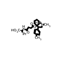 Cc1ccc(C(CN(C)C)C2(OC(=O)CCC(=O)N[C@H](C(=O)O)C(C)C)CCCCC2)cc1